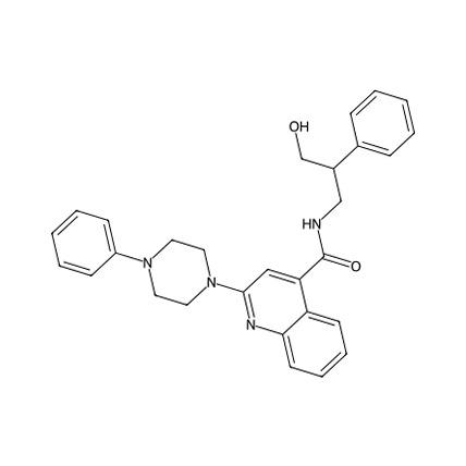 O=C(NCC(CO)c1ccccc1)c1cc(N2CCN(c3ccccc3)CC2)nc2ccccc12